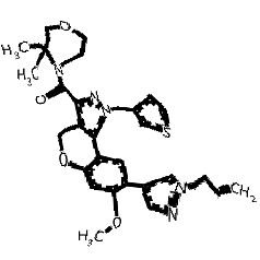 C=CCn1cc(-c2cc3c(cc2OC)OCc2c(C(=O)N4CCOCC4(C)C)nn(-c4ccsc4)c2-3)cn1